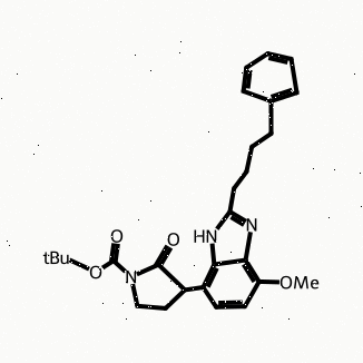 COc1ccc(C2CCN(C(=O)OC(C)(C)C)C2=O)c2[nH]c(CCCCc3ccccc3)nc12